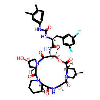 Cc1ccc(NC(=O)N[C@@H](Cc2cc(F)cc(F)c2)C(=O)N[C@@H]2C(=O)N3C[C@H](O)C[C@H]3C(=O)N3CCCC[C@H]3C(=O)N[C@@H](C)C(=O)N3C[C@H](C)C[C@H]3C(=O)O[C@H]2C)cc1C